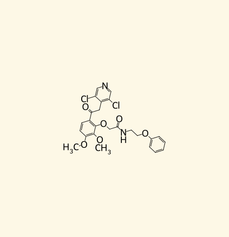 COc1ccc(C(=O)Cc2c(Cl)cncc2Cl)c(OCC(=O)NCCOc2ccccc2)c1OC